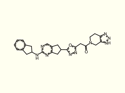 O=C(Cc1nnc(C2Cc3cnc(NC4Cc5ccccc5C4)nc3C2)o1)N1CCc2nn[nH]c2C1